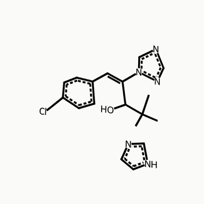 CC(C)(C)C(O)/C(=C\c1ccc(Cl)cc1)n1cncn1.c1c[nH]cn1